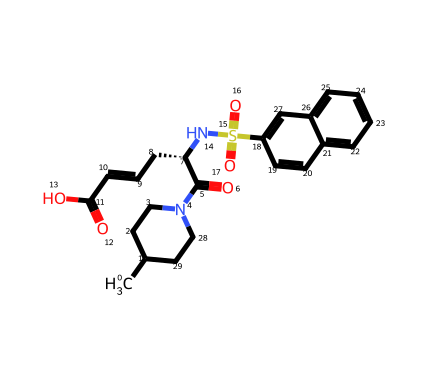 CC1CCN(C(=O)[C@H](CC=CC(=O)O)NS(=O)(=O)c2ccc3ccccc3c2)CC1